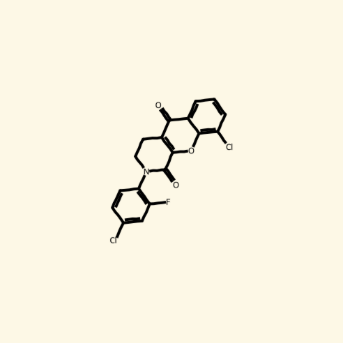 O=C1c2oc3c(Cl)cccc3c(=O)c2CCN1c1ccc(Cl)cc1F